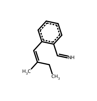 CC/C(C)=C\c1ccccc1C=N